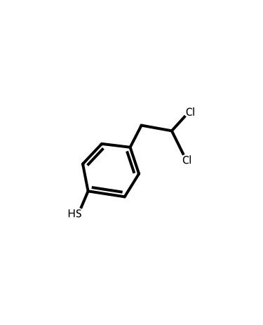 Sc1ccc(CC(Cl)Cl)cc1